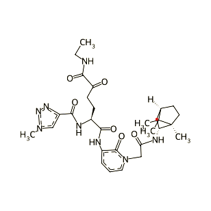 CCNC(=O)C(=O)CC[C@H](NC(=O)c1cn(C)nn1)C(=O)Nc1cccn(CC(=O)N[C@@H]2C[C@H]3CC[C@]2(C)C3(C)C)c1=O